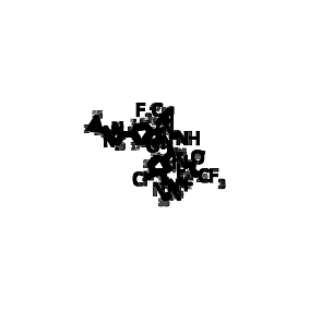 CC(C)(C[C@]1(c2ccc(-c3cnn(C4=CC4)n3)cc2)NC(=N)N([C@H](CNC(=O)CC(F)(F)F)c2ccc(Cl)c(-c3ncnn3C(F)F)c2)C1=O)C(F)(F)F